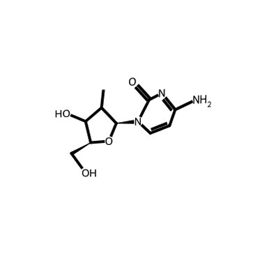 CC1C(O)[C@H](CO)O[C@@H]1n1ccc(N)nc1=O